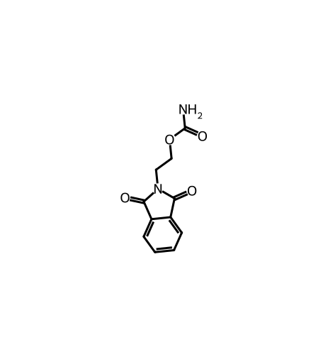 NC(=O)OCCN1C(=O)c2ccccc2C1=O